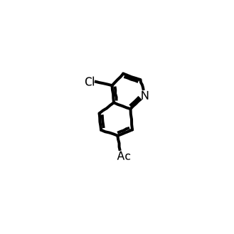 CC(=O)c1ccc2c(Cl)ccnc2c1